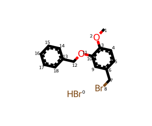 Br.COc1ccc(CBr)cc1OCc1ccccc1